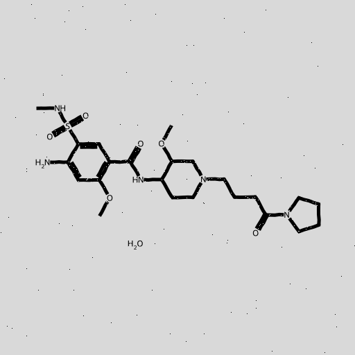 CNS(=O)(=O)c1cc(C(=O)NC2CCN(CCCC(=O)N3CCCC3)CC2OC)c(OC)cc1N.O